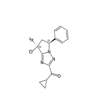 [2H][C@]1(Cl)C[C@@H](c2ccccc2)n2nc(C(=O)C3CC3)nc21